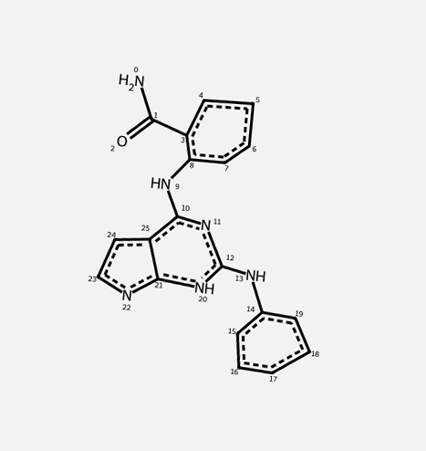 NC(=O)c1ccccc1Nc1nc(Nc2ccccc2)[nH]c2nccc1-2